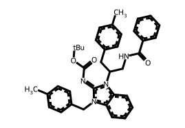 Cc1ccc(CC(CNC(=O)c2ccccc2)n2/c(=N\C(=O)OC(C)(C)C)n(Cc3ccc(C)cc3)c3ccccc32)cc1